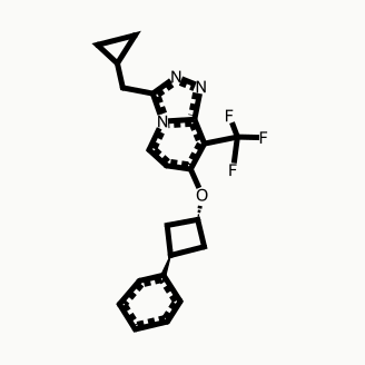 FC(F)(F)c1c(O[C@H]2C[C@H](c3ccccc3)C2)ccn2c(CC3CC3)nnc12